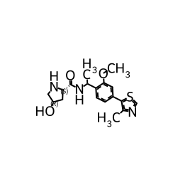 COc1cc(-c2scnc2C)ccc1C(C)NC(=O)[C@@H]1C[C@@H](O)CN1